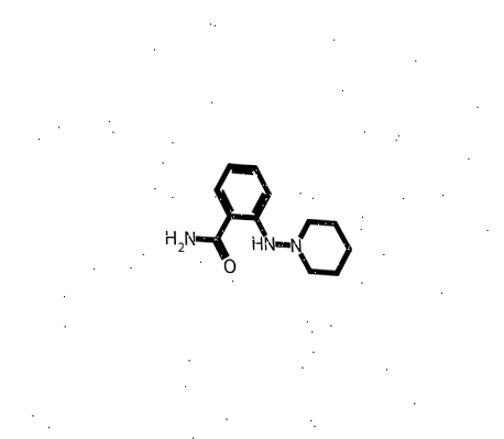 NC(=O)c1ccccc1NN1CCCCC1